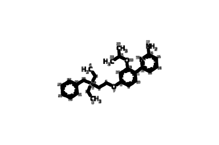 CC[N+](CC)(CCOc1ccc(-c2cccc(N)n2)c(OC(C)C)c1)Cc1ccccc1